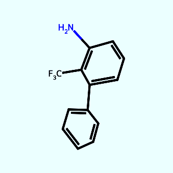 Nc1cccc(-c2ccccc2)c1C(F)(F)F